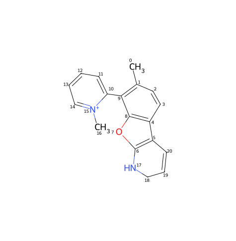 Cc1ccc2c3c(oc2c1-c1cccc[n+]1C)NCC=C3